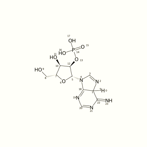 [2H]C12N=CN([C@@H]3O[C@H](CO)[C@@H](O)[C@H]3OP(=O)(O)O)C1=NC=NC2=N